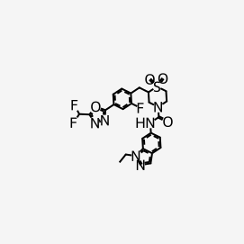 CCn1ncc2ccc(NC(=O)N3CCS(=O)(=O)C(Cc4ccc(-c5nnc(C(F)F)o5)cc4F)C3)cc21